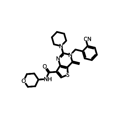 C=C1c2scc(C(=O)NC3CCOCC3)c2N=C(N2CCCCC2)N1Cc1ccccc1C#N